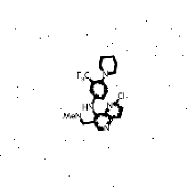 CNCc1cnc2ccc(Cl)nc2c1Nc1ccc(N2CCCCC2)c(C(F)(F)F)c1